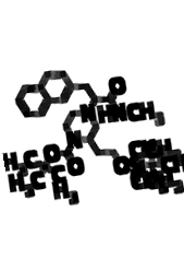 CNC(=O)C(Cc1ccc2ccccc2c1)N1CCN(C(=O)OC(C)(C)C)C(CCO[Si](C)(C)C(C)(C)C)C1